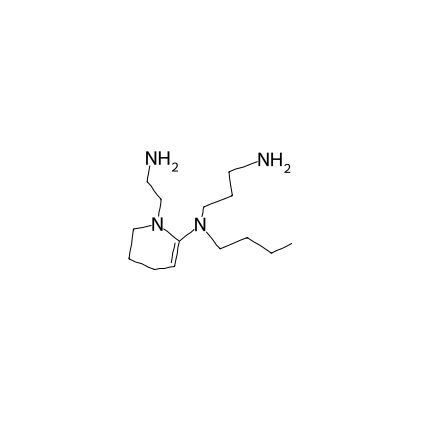 CCCCN(CCCN)C1=CCCCN1CCN